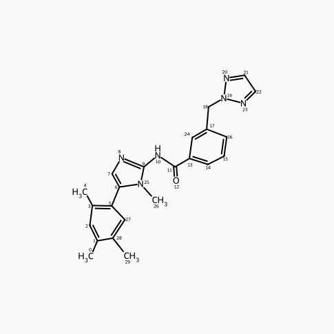 Cc1cc(C)c(-c2cnc(NC(=O)c3cccc(Cn4nccn4)c3)n2C)cc1C